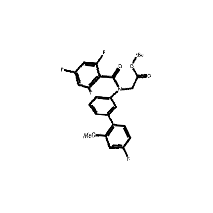 COc1cc(F)ccc1-c1cccc(N(CC(=O)OC(C)(C)C)C(=O)c2c(F)cc(F)cc2F)c1